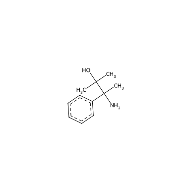 CC(C)(O)C(C)(N)c1ccccc1